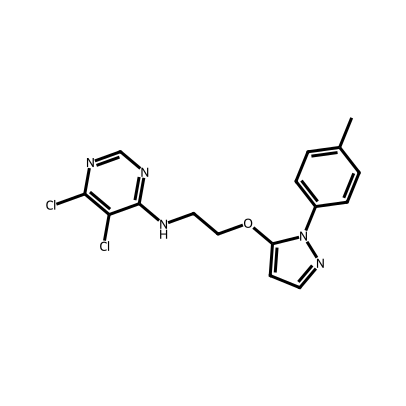 Cc1ccc(-n2nccc2OCCNc2ncnc(Cl)c2Cl)cc1